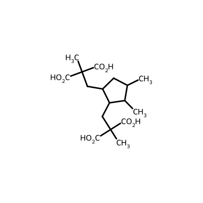 CC1CC(CC(C)(C(=O)O)C(=O)O)C(CC(C)(C(=O)O)C(=O)O)C1C